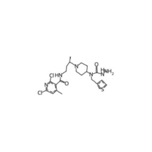 Cc1cc(Cl)nc(Cl)c1C(=O)NCC[C@@H](C)N1CCC(N(Cc2ccsc2)C(=O)NN)CC1